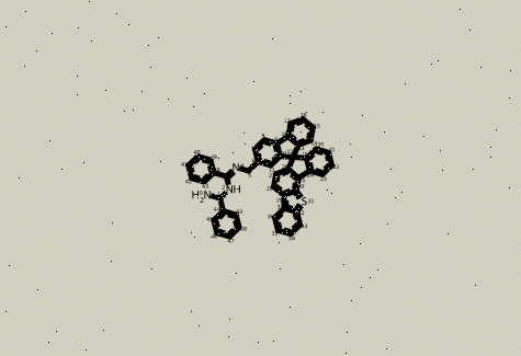 NC(N/C(=N\Cc1ccc2c(c1)C1(c3ccccc3-2)c2ccccc2-c2c1ccc1c2sc2ccccc21)c1ccccc1)c1ccccc1